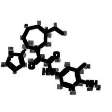 CC[C@@H]1CCC[C@@H](c2cccs2)N(C(=O)C(=O)Nc2cnc(N)c(C)c2)C1